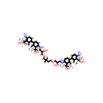 Cc1c(-c2ccc(NCC(O)COCCC(C)(C)COCC(O)CNc3ccc(-c4ccc(N)c(C(O)(C(F)(F)F)C(F)(F)F)c4C)c(C)c3C(O)(C(F)(F)F)C(F)(F)F)c(C(O)(C(F)(F)F)C(F)(F)F)c2C)ccc(N)c1C(O)(C(F)(F)F)C(F)(F)F